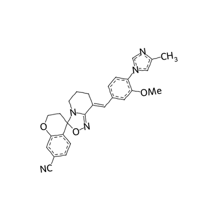 COc1cc(/C=C2\CCCN3C2=NOC32CCOc3cc(C#N)ccc32)ccc1-n1cnc(C)c1